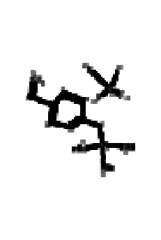 C=Cc1ccc(C[P+](CCCC)(CCCC)CCCC)cc1.F[B-](F)(F)F